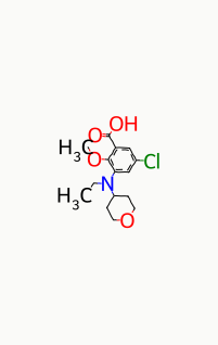 CCN(c1cc(Cl)cc(C(=O)O)c1OC)C1CCOCC1